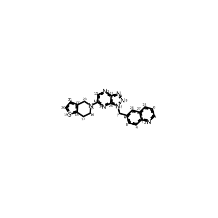 c1cnc2ccc(Cn3nnc4ncc(N5CCc6sccc6C5)nc43)cc2c1